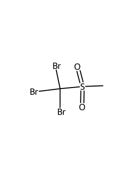 CS(=O)(=O)C(Br)(Br)Br